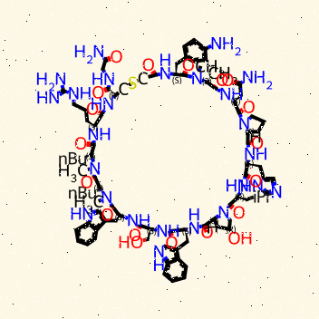 CCCC[C@H]1C(=O)N(C)[C@@H](CCCC)C(=O)N[C@@H](CCCNC(=N)N)C(=O)N[C@H](C(=O)NCC(N)=O)CSCC(=O)N[C@@H](Cc2ccc(N)cc2)C(=O)N(C)[C@@H](C)C(=O)N[C@@H](CC(N)=O)C(=O)N2CCC[C@H]2C(=O)N[C@@H](Cc2cnc[nH]2)C(=O)N[C@@H](CC(C)C)C(=O)N2C[C@H](O)C[C@H]2C(=O)N[C@@H](Cc2c[nH]c3ccccc23)C(=O)N[C@@H](CO)C(=O)N[C@@H](Cc2c[nH]c3ccccc23)C(=O)N1C